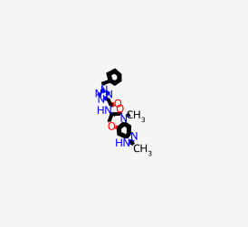 Cc1nc2cc3c(cc2[nH]1)OC[C@H](NC(=O)c1nnn(Cc2ccccc2)n1)C(=O)N3C